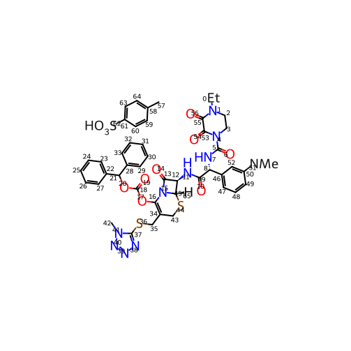 CCN1CCN(C(=O)N[C@@H](C(=O)N[C@@H]2C(=O)N3C(OC(=O)OC(c4ccccc4)c4ccccc4)=C(CSc4nnnn4C)CS[C@@H]23)c2cccc(NC)c2)C(=O)C1=O.Cc1ccc(S(=O)(=O)O)cc1